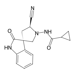 N#C[C@@H]1C[C@@]2(CN1NC(=O)C1CC1)C(=O)Nc1ccccc12